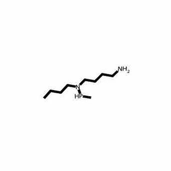 CCCCN(CCCCN)PC